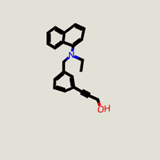 CCN(Cc1cccc(C#CCO)c1)c1cccc2ccccc12